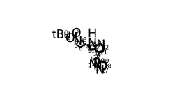 CC(C)(C)OC(=O)N1CCC(c2cc3c(-c4cnn5ncccc45)ccnc3[nH]2)C1